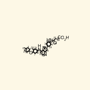 Cc1ccc(Oc2ccc(Nc3ncnc4cn(-c5ccc(NC(=O)CCC(=O)O)cc5)nc34)cc2C)cn1